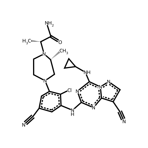 C[C@@H]1CN(c2cc(C#N)cc(Nc3nc(NC4CC4)n4ncc(C#N)c4n3)c2Cl)CCN1[C@H](C)C(N)=O